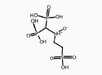 O=P(O)(O)C([NH+]([O-])CCS(=O)(=O)O)P(=O)(O)O